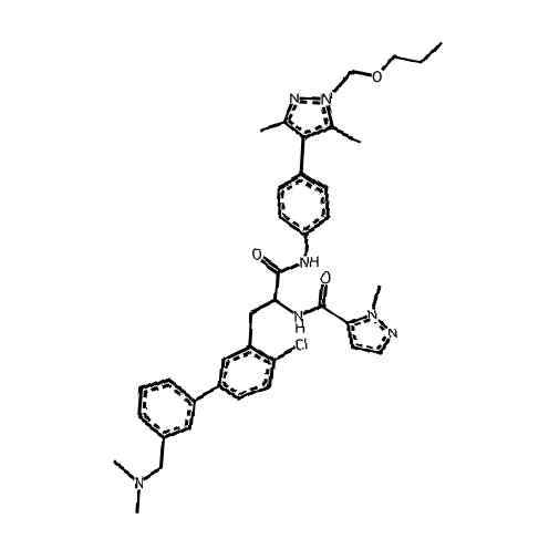 CCCOCn1nc(C)c(-c2ccc(NC(=O)C(Cc3cc(-c4cccc(CN(C)C)c4)ccc3Cl)NC(=O)c3ccnn3C)cc2)c1C